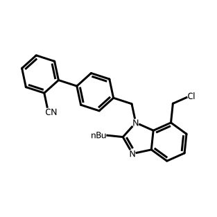 CCCCc1nc2cccc(CCl)c2n1Cc1ccc(-c2ccccc2C#N)cc1